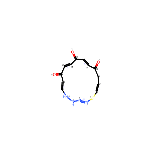 O=C1/C=C/NN/N=N/S/C=C\CC(=O)/C=C/C(=O)/C=C/1